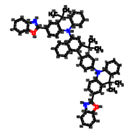 CC1(C)c2ccccc2N(c2ccc3c(c2)C(C)(C)c2cc(N4c5ccccc5C(C)(C)c5cc(-c6nc7ccccc7o6)ccc54)c4ccccc4c2-3)c2ccc(-c3nc4ccccc4o3)cc21